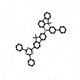 CC1(C)c2cc(-c3nc(-c4ccccc4)nc(-c4ccccc4)n3)ccc2-c2ccc(N(c3ccc(-c4ccccc4)cc3)c3cccc4c3C(C)(C)c3ccccc3-4)cc21